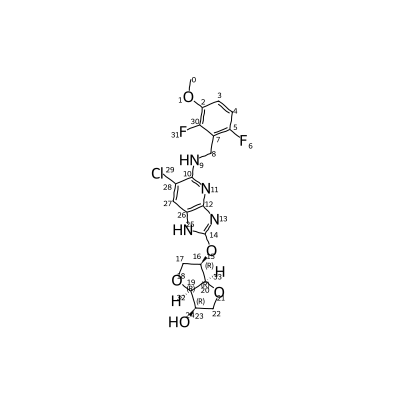 COc1ccc(F)c(CNc2nc3nc(O[C@@H]4CO[C@H]5[C@@H]4OC[C@H]5O)[nH]c3cc2Cl)c1F